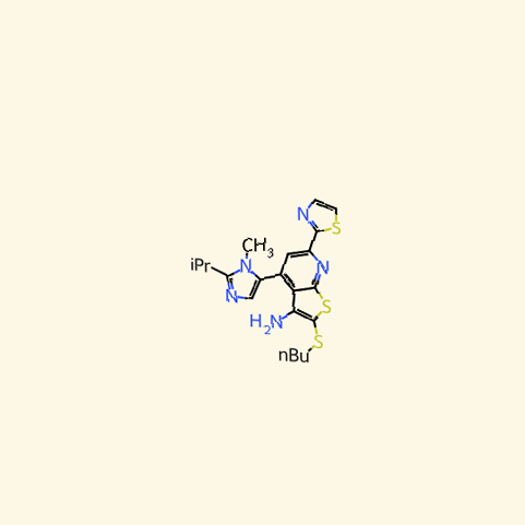 CCCCSc1sc2nc(-c3nccs3)cc(-c3cnc(C(C)C)n3C)c2c1N